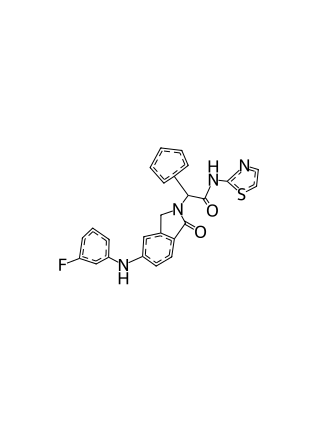 O=C(Nc1nccs1)C(c1ccccc1)N1Cc2cc(Nc3cccc(F)c3)ccc2C1=O